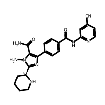 N#Cc1ccnc(NC(=O)c2ccc(-c3nc([C@@H]4CCCCN4)n(N)c3C(N)=O)cc2)c1